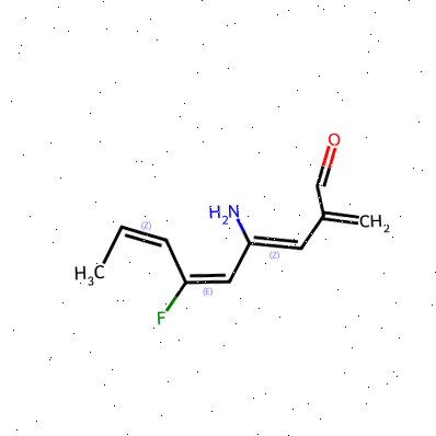 C=C(C=O)/C=C(N)/C=C(F)\C=C/C